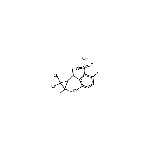 Cc1ccc(O)c(C(C)C2C(C)(C)C2(Cl)Cl)c1S(=O)(=O)O